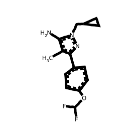 Cc1c(-c2ccc(OC(F)F)cc2)nn(CC2CC2)c1N